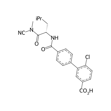 CC(C)C[C@H](NC(=O)c1ccc(-c2cc(C(=O)O)ccc2Cl)cc1)C(=O)N(C)C#N